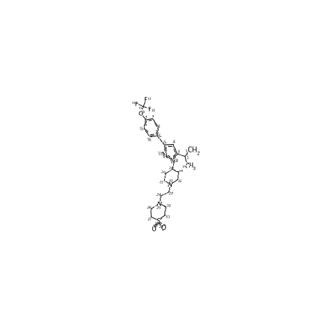 CC(C)c1cc(-c2ccc(OC(F)(F)F)cc2)nn1C1CCN(CCN2CCS(=O)(=O)CC2)CC1